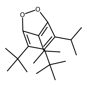 CC(C)c1c2c(C(C)C)c(C(C)(C)C)c(C(C)(C)C)c1OO2